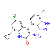 Nc1c(-c2ccc(Cl)c3[nH]ncc23)c2cc(Cl)cc(C3CC3)c2[nH]c1=O